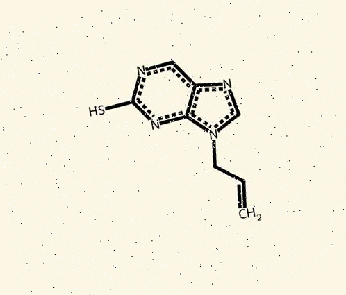 C=CCn1cnc2cnc(S)nc21